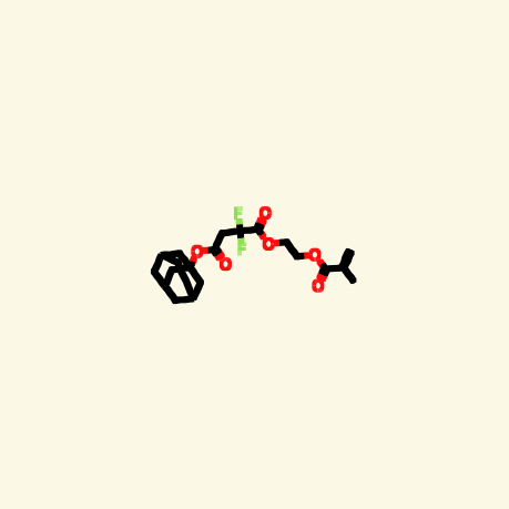 C=C(C)C(=O)OCCOC(=O)C(F)(F)CC(=O)OC12CC3CC(CC(C3)C1)C2